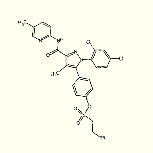 Cc1ccc(NC(=O)c2nn(-c3ccc(Cl)cc3Cl)c(-c3ccc(OS(=O)(=O)CCC(C)C)cc3)c2C)nc1